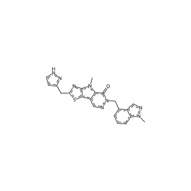 Cn1ncc2c(Cn3ncc4c5sc(Cc6cc[nH]n6)nc5n(C)c4c3=O)cccc21